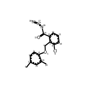 Cc1ccc(OCc2c(Cl)cccc2C(=O)N=[N+]=[N-])c(C)c1